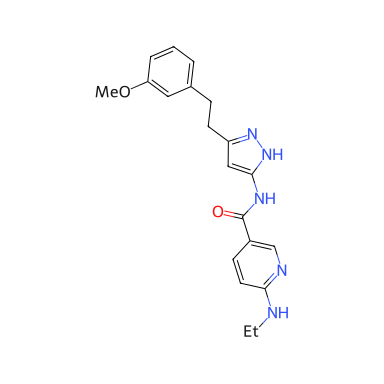 CCNc1ccc(C(=O)Nc2cc(CCc3cccc(OC)c3)n[nH]2)cn1